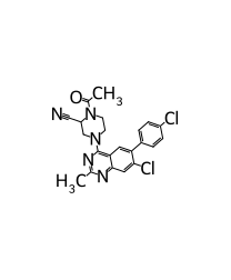 CC(=O)N1CCN(c2nc(C)nc3cc(Cl)c(-c4ccc(Cl)cc4)cc23)CC1C#N